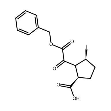 O=C(OCc1ccccc1)C(=O)C1[C@@H](I)CC[C@H]1C(=O)O